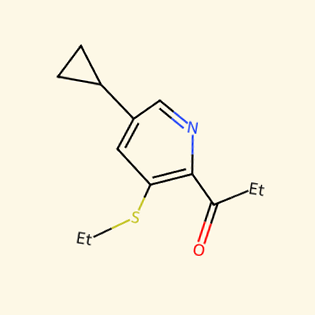 CCSc1cc(C2CC2)cnc1C(=O)CC